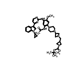 COc1cc(N2CCN(C3CN(CC4CN(C(=O)OC(C)(C)C)C4)C3)CC2)c(NC(C)=O)cc1Nc1nccc(-c2cn(C3CC3)c3ccccc23)n1